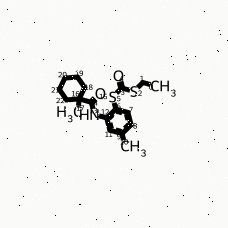 CCSC(=O)Sc1ccc(C)cc1NC(=O)C1(C)CCCCC1